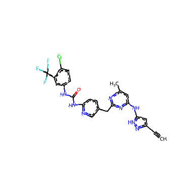 C#Cc1cc(Nc2cc(C)nc(Cc3ccc(NC(=O)Nc4ccc(Cl)c(C(F)(F)F)c4)nc3)n2)[nH]n1